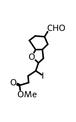 COC(=O)CCC(I)C1CC2CC(C=O)CCC2O1